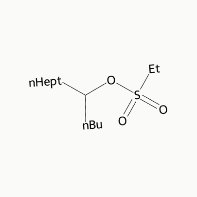 CCCCCCCC(CCCC)OS(=O)(=O)CC